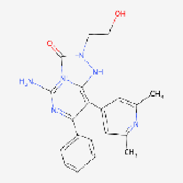 Cc1cc(-c2c(-c3ccccc3)nc(N)[n+]3c(=O)n(CCO)[nH]c23)cc(C)n1